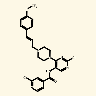 O=C(Nc1cnc(Cl)nc1N1CCN(CC=Cc2ccc(OC(F)(F)F)cc2)CC1)c1ccnc(Cl)c1